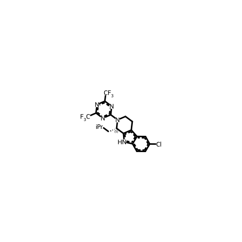 CC(C)C[C@H]1c2[nH]c3ccc(Cl)cc3c2CCN1c1nc(C(F)(F)F)nc(C(F)(F)F)n1